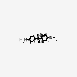 CCCCC(CCCC)(c1ccc(N)cc1)c1ccc(N)cc1